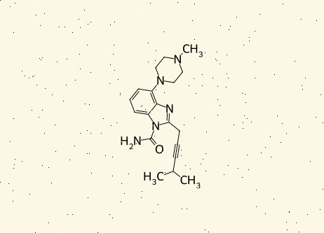 CC(C)C#CCc1nc2c(N3CCN(C)CC3)cccc2n1C(N)=O